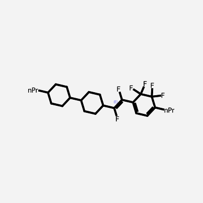 CCCC1=CC=C(/C(F)=C(\F)C2CCC(C3CCC(CCC)CC3)CC2)C(F)(F)C1(F)F